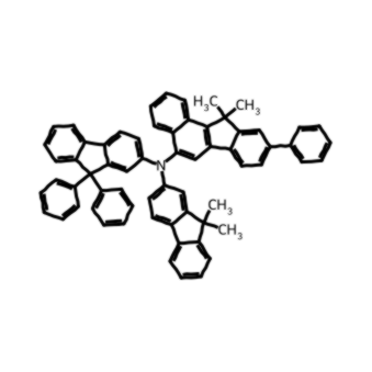 CC1(C)c2ccccc2-c2ccc(N(c3ccc4c(c3)C(c3ccccc3)(c3ccccc3)c3ccccc3-4)c3cc4c(c5ccccc35)C(C)(C)c3cc(-c5ccccc5)ccc3-4)cc21